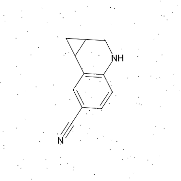 N#Cc1ccc2c(c1)C1CC1CN2